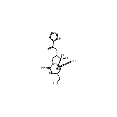 C[C@@H]1[C@@H](OC(=O)c2ccc[nH]2)CN2C(=N)NC(CO)C3NC(=N)N(O)C312